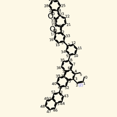 C/C=C\c1c(C)c2cc(-c3cccc(-c4ccc5oc6c(ccc7c8ccccc8oc76)c5c4)c3)ccc2c2ccc(-c3ccc4ccccc4c3)cc12